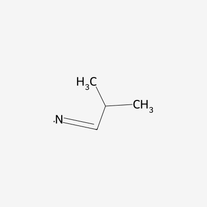 CC(C)C=[N]